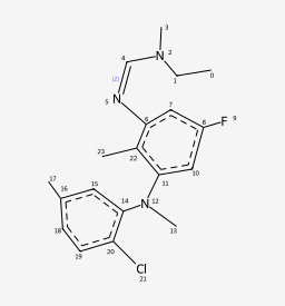 CCN(C)/C=N\c1cc(F)cc(N(C)c2cc(C)ccc2Cl)c1C